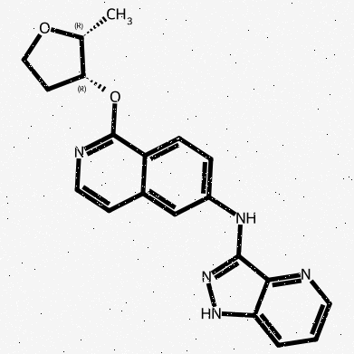 C[C@H]1OCC[C@H]1Oc1nccc2cc(Nc3n[nH]c4cccnc34)ccc12